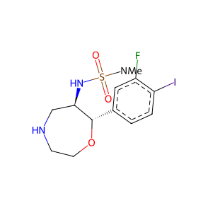 CNS(=O)(=O)N[C@@H]1CNCCO[C@H]1c1ccc(I)c(F)c1